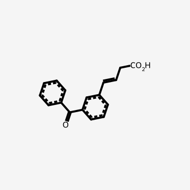 O=C(O)CC=Cc1cccc(C(=O)c2ccccc2)c1